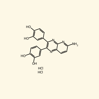 Cl.Cl.Nc1ccc2nc(-c3ccc(O)c(O)c3)c(-c3ccc(O)c(O)c3)nc2n1